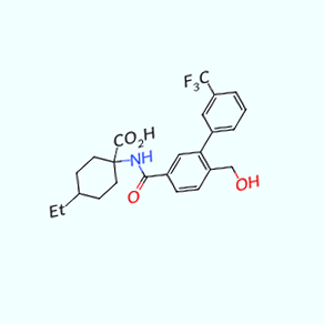 CCC1CCC(NC(=O)c2ccc(CO)c(-c3cccc(C(F)(F)F)c3)c2)(C(=O)O)CC1